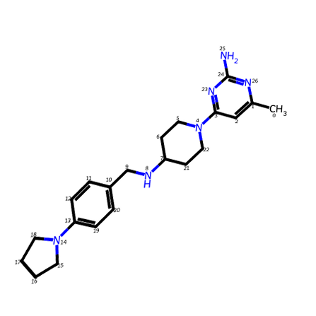 Cc1cc(N2CCC(NCc3ccc(N4CCCC4)cc3)CC2)nc(N)n1